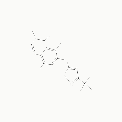 CCN(C)/C=N\c1cc(C)c(Oc2nc(C(C)(C)C)ns2)cc1Br